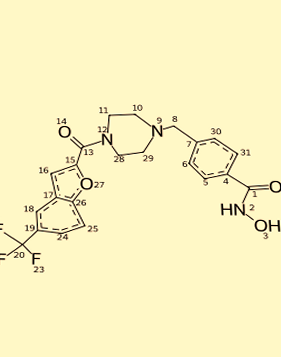 O=C(NO)c1ccc(CN2CCN(C(=O)c3cc4cc(C(F)(F)F)ccc4o3)CC2)cc1